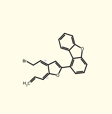 C=C/C=c1/oc(-c2cccc3oc4ccccc4c23)c/c1=C/CBr